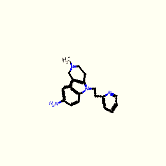 CN1CCc2c(c3cc(N)ccc3n2CCc2ccccn2)C1